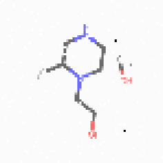 CC1CNCCN1CCO.CO